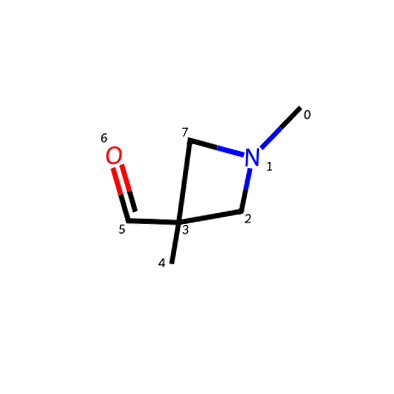 CN1CC(C)(C=O)C1